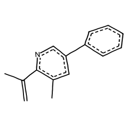 C=C(C)c1ncc(-c2ccccc2)cc1C